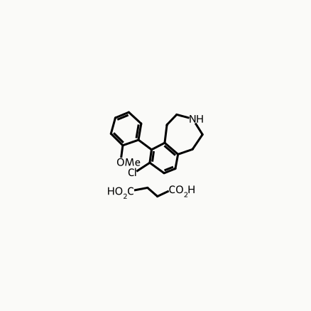 COc1ccccc1-c1c(Cl)ccc2c1CCNCC2.O=C(O)CCC(=O)O